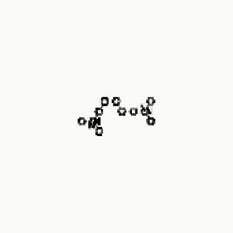 c1ccc(-c2cc(-c3ccc(-c4cccc(-c5cccc(-c6cccc(-c7ccc(-c8cc(-c9ccccc9)nc(-c9ccccc9)n8)cc7)c6)c5)c4)cc3)nc(-c3ccccc3)n2)cc1